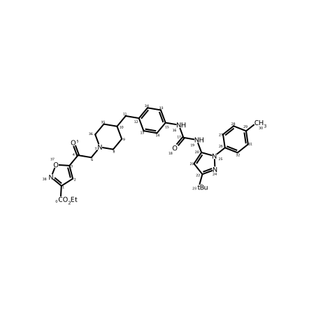 CCOC(=O)c1cc(C(=O)CN2CCC(Cc3ccc(NC(=O)Nc4cc(C(C)(C)C)nn4-c4ccc(C)cc4)cc3)CC2)on1